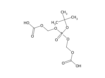 CC(C)(C)OP(=O)(OCOC(=O)O)OCOC(=O)O